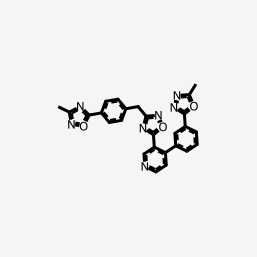 Cc1noc(-c2ccc(Cc3noc(-c4cnccc4-c4cccc(-c5nnc(C)o5)c4)n3)cc2)n1